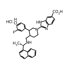 C[C@@H](NCC1CCN(c2nc3ccc(C(=O)O)cc3[nH]2)CC1c1cccc(F)c1)c1cccc2ccccc12.Cl.Cl